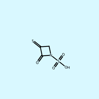 O=C1C(=S)CN1S(=O)(=O)O